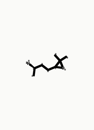 [2H][C@H](C)CCC1OC1(C)C